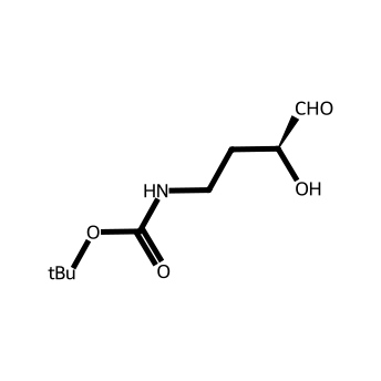 CC(C)(C)OC(=O)NCC[C@H](O)C=O